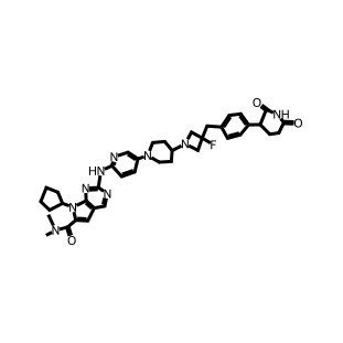 CN(C)C(=O)c1cc2cnc(Nc3ccc(N4CCC(N5CC(F)(Cc6ccc(C7CCC(=O)NC7=O)cc6)C5)CC4)cn3)nc2n1C1CCCC1